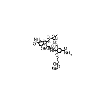 CCc1nc(C)oc1C(=O)/N=c1\sc2cc(C(N)=O)cc(OC)c2n1C/C=C/CNc1c(OCCCC(=O)OC(C)(C)C)cc(C(N)=O)cc1[N+](=O)[O-]